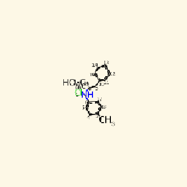 CC(=O)Cl.Cc1ccc(N[C@@H](Cc2ccccc2)C(=O)O)cc1